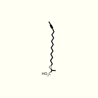 CC#CCCCCCCCCCCCOC(C)C(=O)O